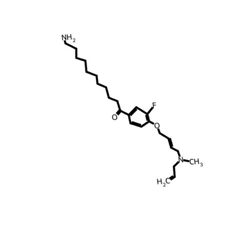 C=CCN(C)CC=CCOc1ccc(C(=O)CCCCCCCCCCN)cc1F